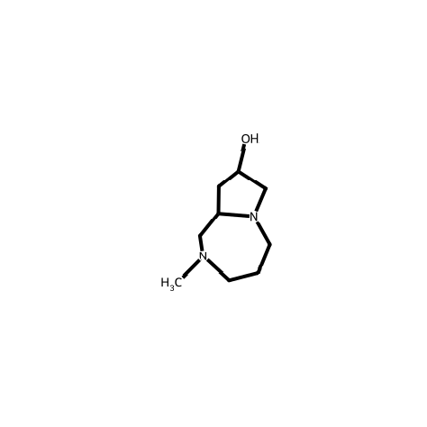 CN1CCCN2CC(O)CC2C1